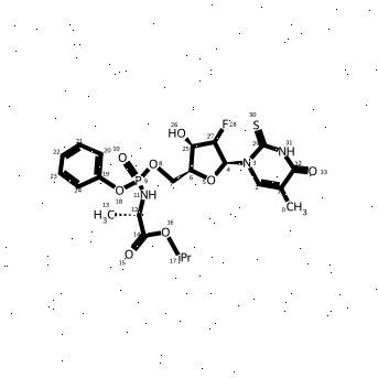 Cc1cn([C@H]2O[C@@H](COP(=O)(N[C@@H](C)C(=O)OC(C)C)Oc3ccccc3)[C@@H](O)C2F)c(=S)[nH]c1=O